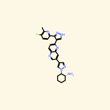 Cc1nc(-c2n[nH]cc2-c2ccc3ncc(-c4cnn([C@@H]5CCCC[C@H]5N)c4)cc3n2)ccc1F